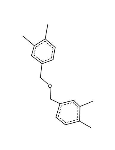 Cc1ccc(COCc2ccc(C)c(C)c2)cc1C